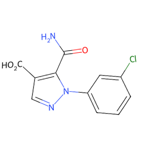 NC(=O)c1c(C(=O)O)cnn1-c1cccc(Cl)c1